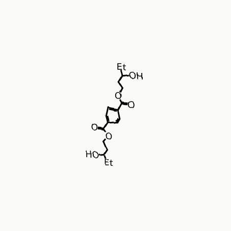 CCC(O)CCOC(=O)c1ccc(C(=O)OCCC(O)CC)cc1